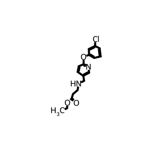 CCOC(=O)CCNCc1ccc(Oc2cccc(Cl)c2)nc1